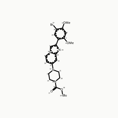 COc1cc(OC)c(-c2cn3ccc(N4CCN(C(=O)OC(C)(C)C)CC4)cc3n2)cc1Br